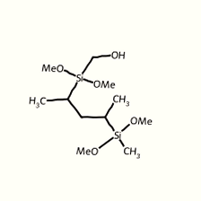 CO[Si](C)(OC)C(C)CC(C)[Si](CO)(OC)OC